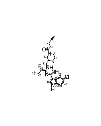 C#CCCC(=O)N1CCC[C@@H](CNC(/N=C(\N)c2c[nH]c3ncc(Cl)cc23)=C(\F)CI)C1